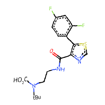 CC(C)(C)N(CCNC(=O)c1ncsc1-c1ccc(F)cc1F)C(=O)O